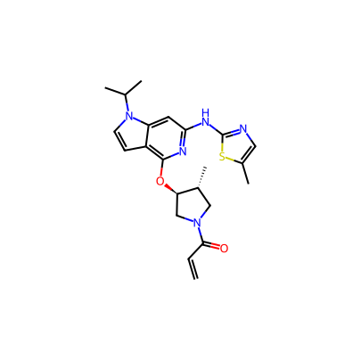 C=CC(=O)N1C[C@@H](C)[C@H](Oc2nc(Nc3ncc(C)s3)cc3c2ccn3C(C)C)C1